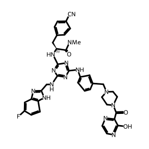 CNC(=O)[C@H](Cc1ccc(C#N)cc1)Nc1nc(NCc2nc3cc(F)ccc3[nH]2)nc(Nc2cccc(CN3CCN(C(=O)c4nccnc4O)CC3)c2)n1